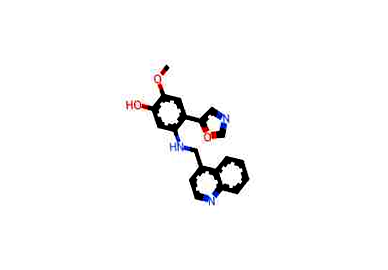 COc1cc(-c2cnco2)c(NCc2ccnc3ccccc23)cc1O